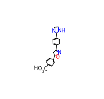 O=C(O)c1ccc(C2CC(c3ccc(C4=NCCN4)cc3)=NO2)cc1